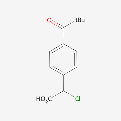 CC(C)(C)C(=O)c1ccc(C(Cl)C(=O)O)cc1